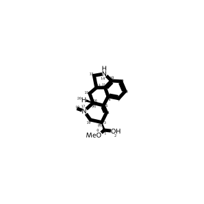 COC(O)[C@@H]1C=C2c3cccc4c3C(CN4)C[C@H]2N(C)C1